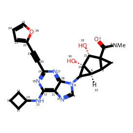 CNC(=O)C12CC1[C@H]1C(n3cnc4c(NC5CCC5)nc(C#Cc5ccco5)nc43)[C@@]1(O)[C@@H]2O